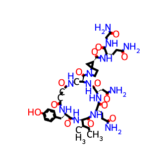 CC[C@H](C)[C@@H]1NC(=O)[C@H](Cc2ccc(O)cc2)NC(=O)CCC(=O)NC[C@@H](C(=O)N2CCC23C[C@@H]3C(=O)N[C@@H](CCC(N)=O)C(=O)NCC(N)=O)NC(=O)[C@H](CC(N)=O)NC(=O)[C@H](CCC(N)=O)NC1=O